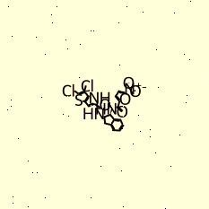 O=C(N[C@H]1Cc2ccccc2[C@@H]1NC(=O)c1ccc([N+](=O)[O-])o1)c1cc2sc(Cl)c(Cl)c2[nH]1